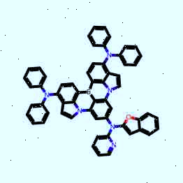 c1ccc(N(c2ccccc2)c2ccc3c4c2ccn4-c2cc(N(c4ccccn4)c4cc5ccccc5o4)cc4c2B3c2ccc(N(c3ccccc3)c3ccccc3)c3ccn-4c23)cc1